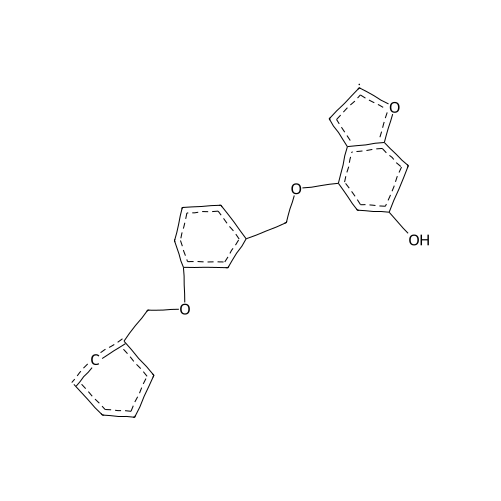 Oc1cc(OCc2cccc(OCc3ccccc3)c2)c2c[c]oc2c1